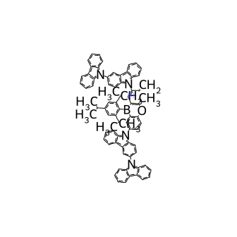 C=C/C(=C\C1=C(C)Oc2ccc(-n3c4ccccc4c4cc(-n5c6ccccc6c6ccccc65)ccc43)cc2B1c1c(C(C)C)cc(C(C)C)cc1C(C)C)n1c2ccccc2c2cc(-n3c4ccccc4c4ccccc43)ccc21